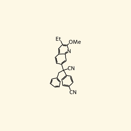 CCc1cc2ccc(C(C#N)(Cc3ccccc3)c3ccc(C#N)cc3)cc2nc1OC